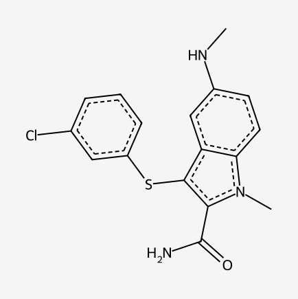 CNc1ccc2c(c1)c(Sc1cccc(Cl)c1)c(C(N)=O)n2C